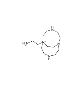 NCC[N+]12CCNCCN(CCNCC1)CC2